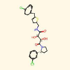 O=C(NCC1CC=C(Cc2ccc(Cl)cc2)S1)[C@H](O)[C@@H](O)C(=O)N1CCC[C@@H]1c1cccc(Cl)c1